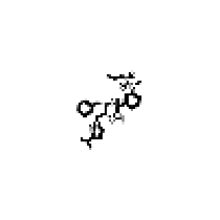 CCCS(=O)(=O)N(C)c1cccc(C(=O)N[C@@H](Cc2ccccc2)[C@H](O)Cn2ccc(C(C)C)n2)c1